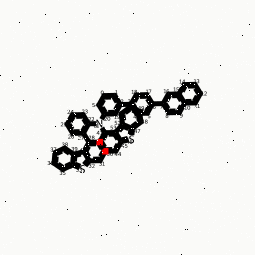 c1cc(-c2ccc(-c3ccc4ccccc4c3)cc2)cc(N(c2ccccc2-c2cccc3sc4ccccc4c23)c2cccc3sc4ccccc4c23)c1